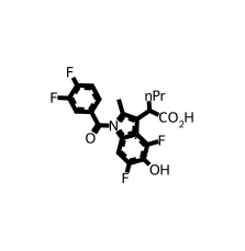 CCCC(C(=O)O)c1c(C)n(C(=O)c2ccc(F)c(F)c2)c2cc(F)c(O)c(F)c12